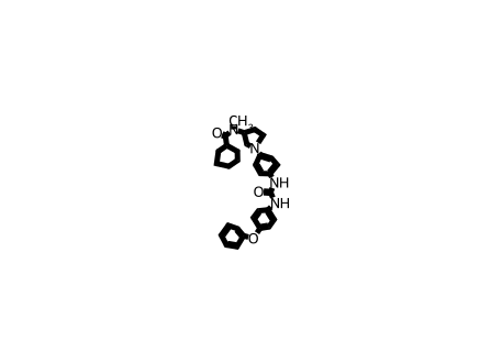 CN(C(=O)C1CCCCC1)C1CCN(c2ccc(NC(=O)Nc3ccc(Oc4ccccc4)cc3)cc2)C1